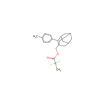 Cc1ccc(C2C3CC4CC(C3)CC2(COC(=O)C(C)(F)F)C4)cc1